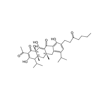 CCCCC(=O)CCc1cc(C(C)C)c2c(c1O)C(=O)C1=C(O)[C@@]3(O)C(=O)C(C(C)=O)=C(O)C(C(C)C)[C@@]3(C)C[C@@]1(C)C2